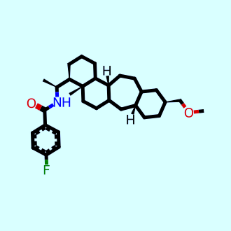 COC[C@H]1CC[C@@H]2CC3CC[C@@]4(C)C(CCC[C@@H]4[C@H](C)NC(=O)c4ccc(F)cc4)[C@@H]3CCC2C1